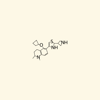 CC1CCc2c(ccc(C3=CSC(C4CNC4)N3)c2OC2CCC2)N1C